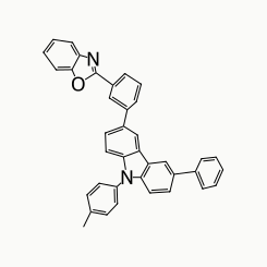 Cc1ccc(-n2c3ccc(-c4ccccc4)cc3c3cc(-c4cccc(-c5nc6ccccc6o5)c4)ccc32)cc1